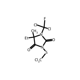 CCC1(C)C(=O)N(SC(Cl)(Cl)Cl)C(=O)N1C(F)(Cl)Cl